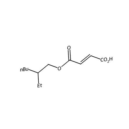 CCCCC(CC)COC(=O)C=CC(=O)O